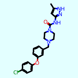 Cc1cc(NC(=O)N2CCN(Cc3cccc(Oc4ccc(Cl)cc4)c3)CC2)n[nH]1